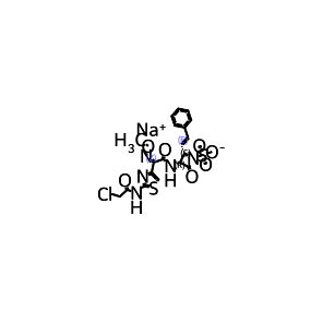 CO/N=C(\C(=O)N[C@H]1C(=O)N(S(=O)(=O)[O-])[C@H]1/C=C/c1ccccc1)c1csc(NC(=O)CCl)n1.[Na+]